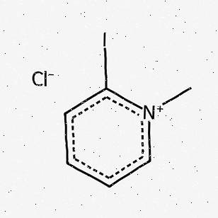 C[n+]1ccccc1I.[Cl-]